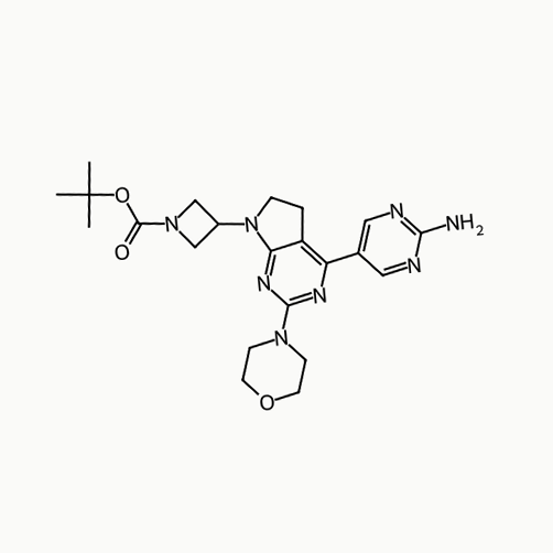 CC(C)(C)OC(=O)N1CC(N2CCc3c(-c4cnc(N)nc4)nc(N4CCOCC4)nc32)C1